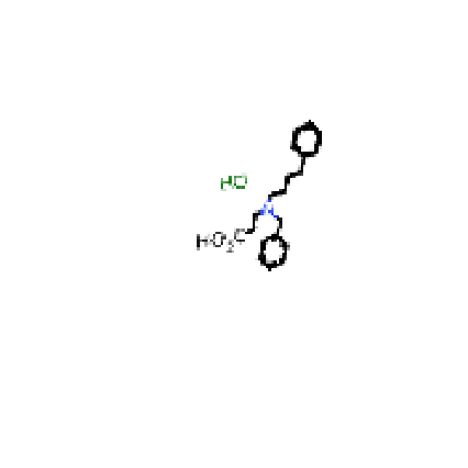 Cl.O=C(O)CCN(CCCCc1ccccc1)Cc1ccccc1